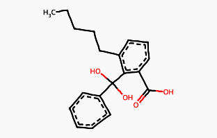 CCCCCc1cccc(C(=O)O)c1C(O)(O)c1ccccc1